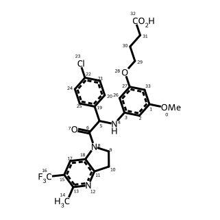 COc1cc(NC(C(=O)N2CCc3nc(C)c(C(F)(F)F)cc32)c2ccc(Cl)cc2)cc(OCCCC(=O)O)c1